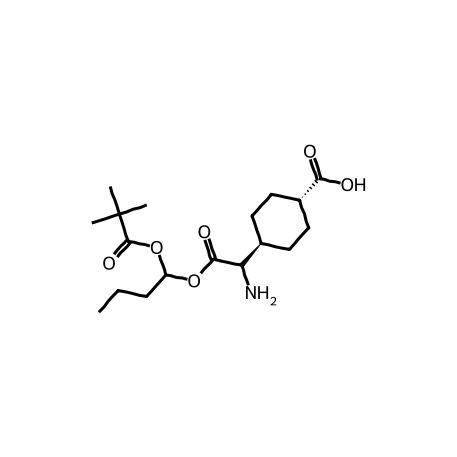 CCCC(OC(=O)C(N)[C@H]1CC[C@H](C(=O)O)CC1)OC(=O)C(C)(C)C